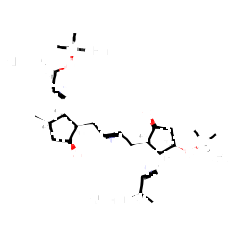 CCCCC[C@H](C)/C=C/[C@H]1[C@H](O[Si](C)(C)C(C)(C)C)CC(=O)[C@@H]1C/C=C/C[C@H]1C(=O)C[C@@H](C)[C@@H]1/C=C/[C@H](CCCCC)O[Si](C)(C)C(C)(C)C